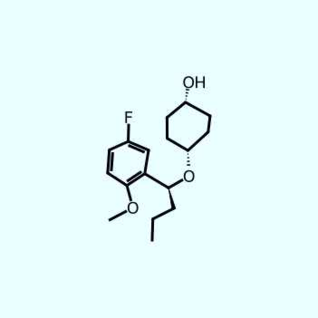 CCC[C@H](O[C@H]1CC[C@@H](O)CC1)c1cc(F)ccc1OC